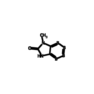 Cn1c(=O)[nH]c2bbbbc21